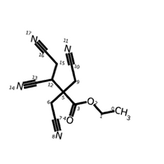 CCOC(=O)C(CC#N)(CC#N)C(C#N)CC#N